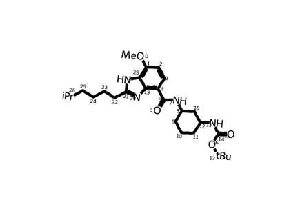 COc1ccc(C(=O)NC2CCCC(NC(=O)OC(C)(C)C)C2)c2nc(CCCCC(C)C)[nH]c12